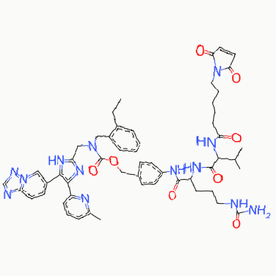 CCc1ccccc1CN(Cc1nc(-c2cccc(C)n2)c(-c2ccc3ncnn3c2)[nH]1)C(=O)OCc1ccc(NC(=O)C(CCCNC(N)=O)NC(=O)C(NC(=O)CCCCCN2C(=O)C=CC2=O)C(C)C)cc1